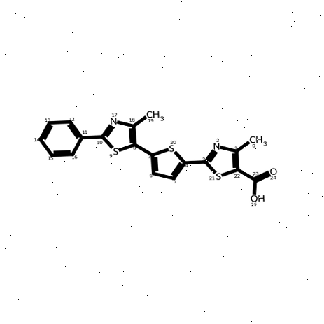 Cc1nc(-c2ccc(-c3sc(-c4ccccc4)nc3C)s2)sc1C(=O)O